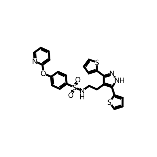 O=S(=O)(NCCc1c(-c2cccs2)n[nH]c1-c1cccs1)c1ccc(Oc2ccccn2)cc1